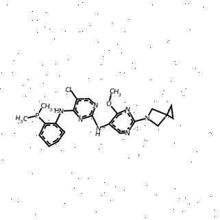 COc1nc(N2CC3(CC3)C2)ncc1Nc1ncc(Cl)c(Nc2ccccc2P(C)C)n1